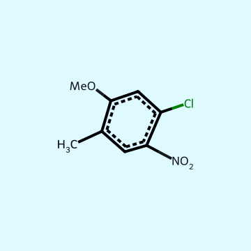 COc1cc(Cl)c([N+](=O)[O-])cc1C